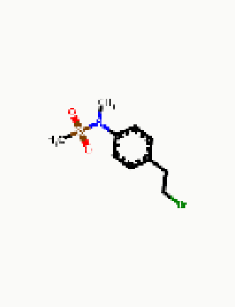 CN(c1ccc(CCBr)cc1)S(C)(=O)=O